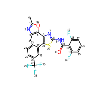 Cc1nc(C)c(-c2nc(NC(=O)c3c(F)cccc3F)sc2-c2cccc(C(F)(F)F)c2)o1